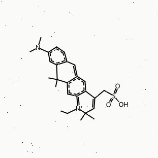 CC[N+]1=c2cc3c(cc2C(CS(=O)(=O)O)=CC1(C)C)=Cc1ccc(N(C)C)cc1C3(C)C